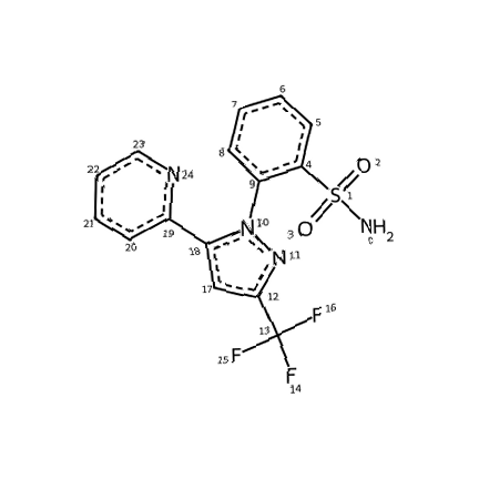 NS(=O)(=O)c1ccccc1-n1nc(C(F)(F)F)cc1-c1ccccn1